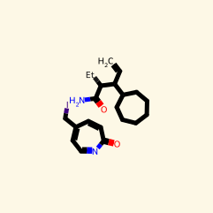 C=CC(C1CCCCCC1)C(CC)C(N)=O.O=c1ccc(CI)ccn1